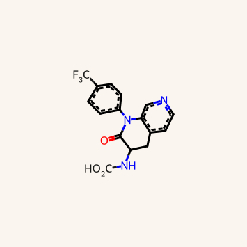 O=C(O)NC1Cc2ccncc2N(c2ccc(C(F)(F)F)cc2)C1=O